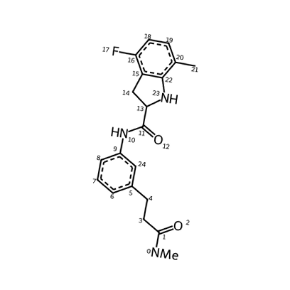 CNC(=O)CCc1cccc(NC(=O)C2Cc3c(F)ccc(C)c3N2)c1